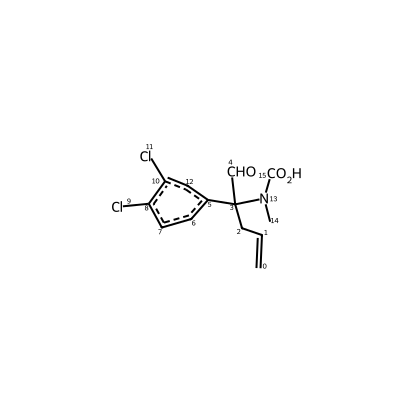 C=CCC(C=O)(c1ccc(Cl)c(Cl)c1)N(C)C(=O)O